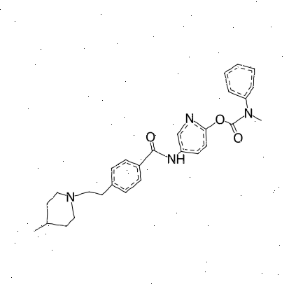 CC1CCN(CCc2ccc(C(=O)Nc3ccc(OC(=O)N(C)c4ccccc4)nc3)cc2)CC1